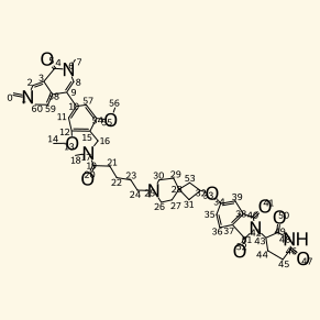 C=N/C=c1/c(=O)n(C)cc(-c2cc(OC)c(CN(C)C(=O)CCCCN3CCC4(CC3)CC(Oc3ccc5c(c3)C(=O)N(C3CCC(=O)NC3=O)C5=O)C4)c(OC)c2)/c1=C/C